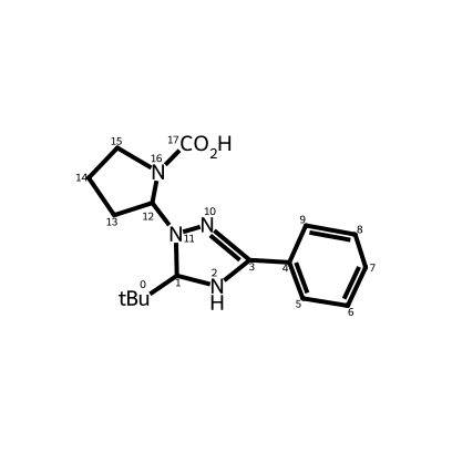 CC(C)(C)C1NC(c2ccccc2)=NN1C1CCCN1C(=O)O